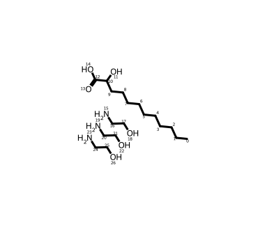 CCCCCCCCCCC(O)C(=O)O.NCCO.NCCO.NCCO